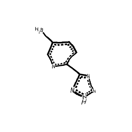 Bc1ccc(-c2nn[nH]n2)nc1